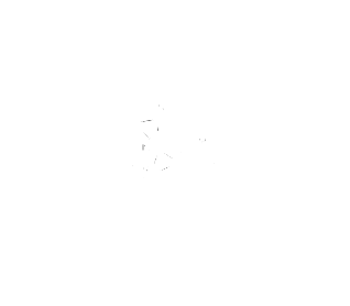 CCOC(=O)CC(COC)c1ccc(N(C)C2CCOCC2)c(Nc2ccc(C#N)cc2)c1